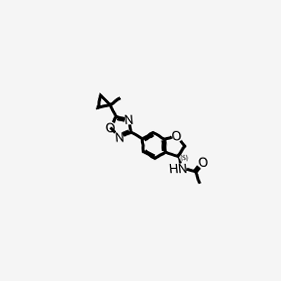 CC(=O)N[C@@H]1COc2cc(-c3noc(C4(C)CC4)n3)ccc21